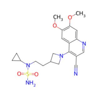 COc1cc2ncc(C#N)c(N3CC(CCN(C4CC4)S(N)(=O)=O)C3)c2cc1OC